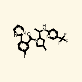 CC1CC(C(C)Nc2ccc(C(F)(F)F)cn2)N(C(=O)c2cc(F)ccc2-c2ncccn2)C1